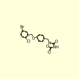 O=c1[nH]c(=O)n(Cc2ccc(OCc3cc(Br)ccc3Cl)cc2)o1